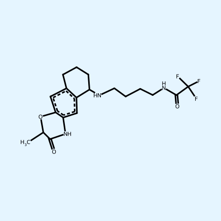 CC1Oc2cc3c(cc2NC1=O)C(NCCCCNC(=O)C(F)(F)F)CCC3